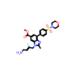 COC(=O)c1cc(-c2ccc(S(=O)(=O)N3CCOCC3)cc2)c2nc(C)n(CC(F)=CCN)c2c1